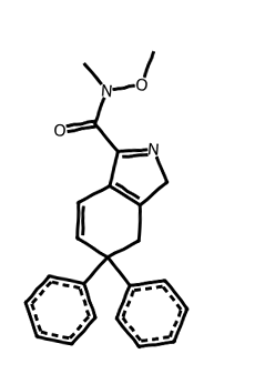 CON(C)C(=O)C1=NCC2=C1C=CC(c1ccccc1)(c1ccccc1)C2